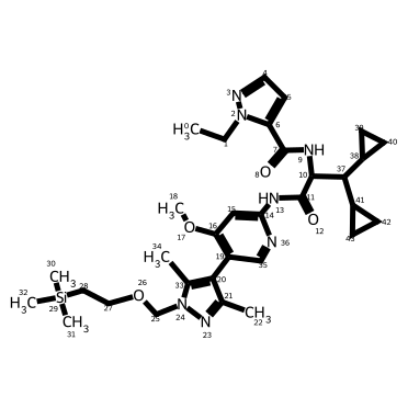 CCn1nccc1C(=O)NC(C(=O)Nc1cc(OC)c(-c2c(C)nn(COCC[Si](C)(C)C)c2C)cn1)C(C1CC1)C1CC1